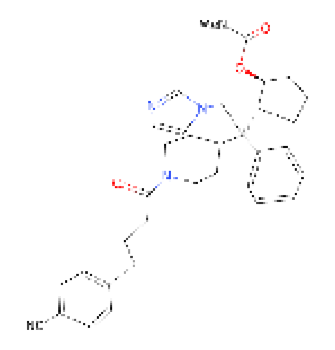 CNC(=O)O[C@H]1CCC[C@@H]1C(Cn1ccnc1)(c1ccccc1)C1CCN(C(=O)CCCc2ccc(C#N)cc2)CC1